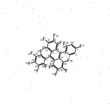 Fc1ccc(-c2c3c(F)c(F)c(F)c(F)c3c(-c3c(F)c(F)c(F)c(F)c3F)c3c(F)c(F)c(F)c(F)c23)c(F)c1